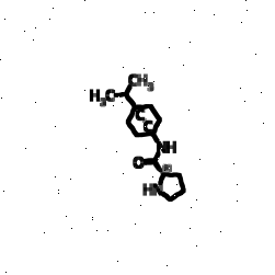 CC(C)C12CCC(NC(=O)[C@H]3CCCN3)(CC1)CC2